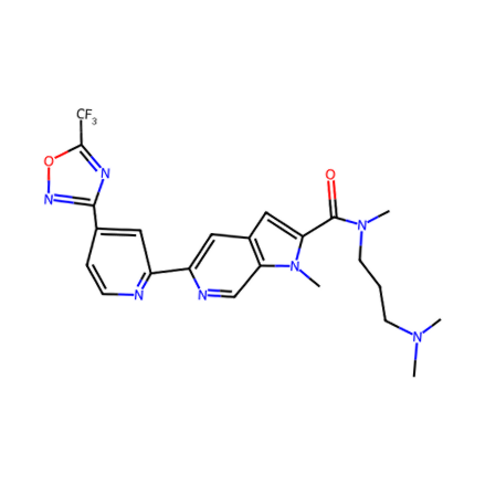 CN(C)CCCN(C)C(=O)c1cc2cc(-c3cc(-c4noc(C(F)(F)F)n4)ccn3)ncc2n1C